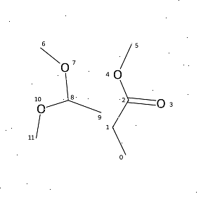 CCC(=O)OC.COC(C)OC